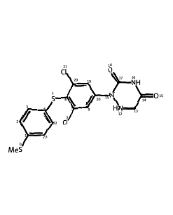 CSc1ccc(Sc2c(Cl)cc(N3NCC(=O)NC3=O)cc2Cl)cc1